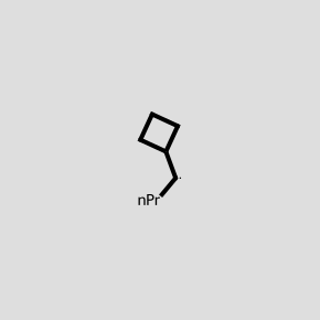 C[CH]C[CH]C1CCC1